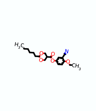 CCCCCCC1OCC(C(=O)Oc2ccc(OCC)c(C#N)c2)CO1